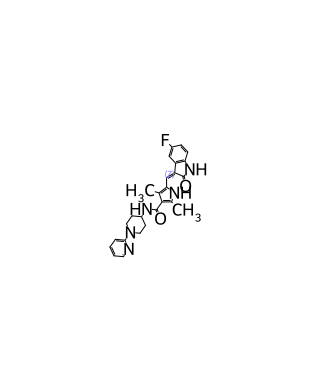 Cc1[nH]c(/C=C2\C(=O)Nc3ccc(F)cc32)c(C)c1C(=O)NC1CCN(c2ccccn2)CC1